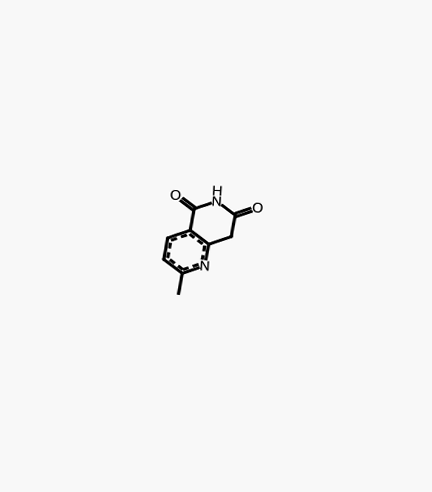 Cc1ccc2c(n1)CC(=O)NC2=O